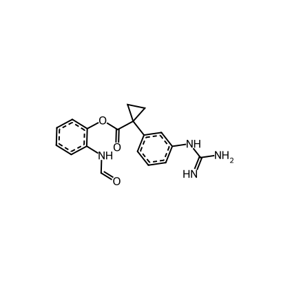 N=C(N)Nc1cccc(C2(C(=O)Oc3ccccc3NC=O)CC2)c1